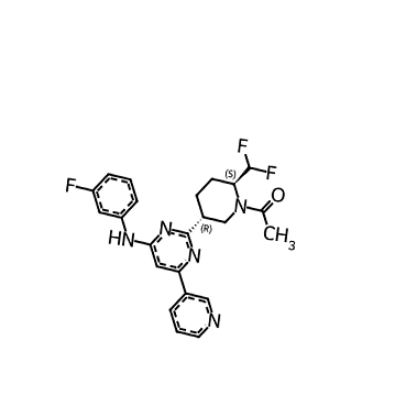 CC(=O)N1C[C@H](c2nc(Nc3cccc(F)c3)cc(-c3cccnc3)n2)CC[C@H]1C(F)F